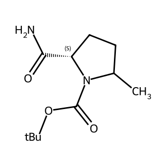 CC1CC[C@@H](C(N)=O)N1C(=O)OC(C)(C)C